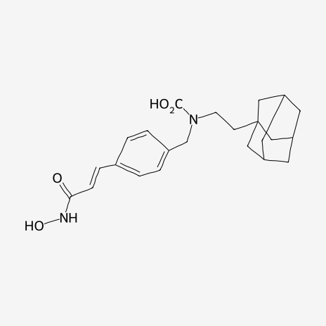 O=C(/C=C/c1ccc(CN(CCC23CC4CC(CC(C4)C2)C3)C(=O)O)cc1)NO